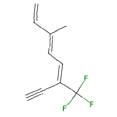 C#C/C(=C\C=C(/C)C=C)C(F)(F)F